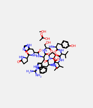 CC(=O)O.CCNC(=O)C1CCCN1C(=O)C(CCCN=C(N)N)NC(=O)C(NC(=O)C(NC(=O)C(Cc1ccc(O)cc1)NC(=O)C(CO)NC(=O)C(Cc1c[nH]c2ccccc12)NC(=O)C(Cc1cnc[nH]1)NC(=O)C1CCC(=O)N1)C(C)C)C(C)C.CO